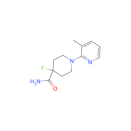 Cc1cccnc1N1CCC(F)(C(N)=O)CC1